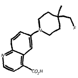 CC1(CF)CCN(c2ccc3nccc(C(=O)O)c3c2)CC1